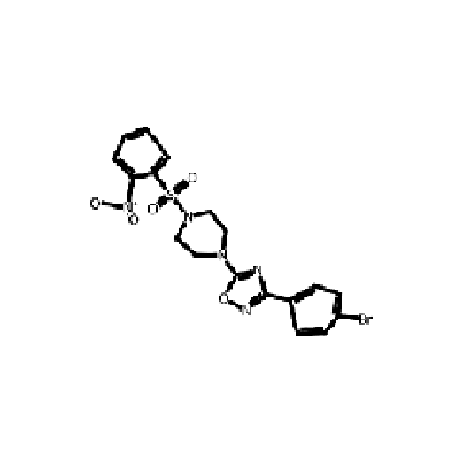 O=[N+]([O-])c1ccccc1S(=O)(=O)N1CCN(c2nc(-c3ccc(Br)cc3)no2)CC1